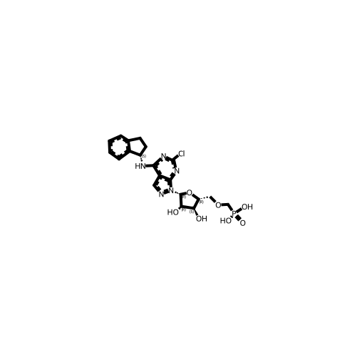 O=P(O)(O)COC[C@H]1O[C@@H](n2ncc3c(N[C@H]4CCc5ccccc54)nc(Cl)nc32)[C@H](O)[C@@H]1O